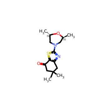 C[C@H]1CN(c2nc3c(s2)C(=O)CC(C)(C)C3)C[C@H](C)O1